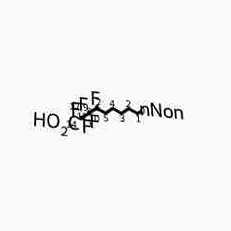 CCCCCCCCCCCCCCC(F)C(F)(F)C(F)(F)C(=O)O